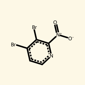 O=[N+]([O-])c1nccc(Br)c1Br